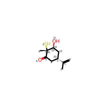 C=C(C)[C@@H]1CC(=O)[C@](C)(S)[C@@H](O)C1